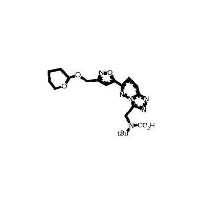 CC(C)(C)N(Cc1nnc2ccc(-c3cc(COC4CCCCO4)no3)nn12)C(=O)O